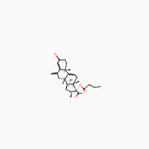 C=C1C[C@@H]2C(=CC[C@@]3(C)[C@H]2C[C@H](C)[C@]3(OC(=O)CCC)C(C)=O)[C@@]2(C)CCC(=O)C=C12